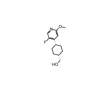 COc1cc([C@H]2CC[C@@H](CO)CC2)c(F)cn1